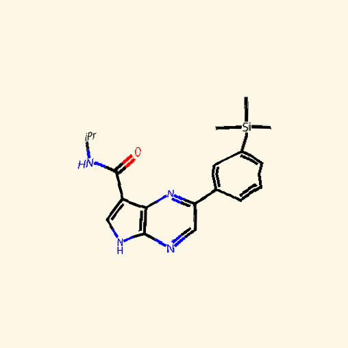 CC(C)NC(=O)c1c[nH]c2ncc(-c3cccc([Si](C)(C)C)c3)nc12